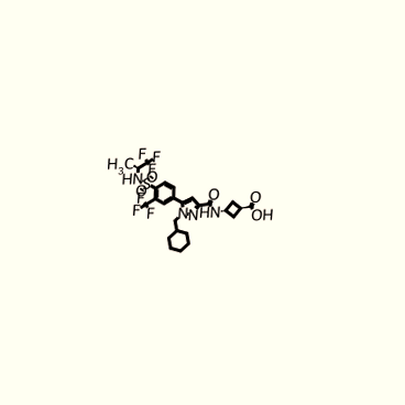 C[C@H](NS(=O)(=O)c1ccc(-c2cc(C(=O)N[C@H]3C[C@H](C(=O)O)C3)nn2CC2CCCCC2)cc1C(F)(F)F)C(F)(F)F